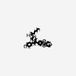 CCCCCC(C)Nc1ncc2c(-c3ccc(S(=O)(=O)N4CCOCC4)cc3)cc(C3CCC(=O)CC3)n2n1